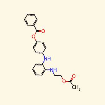 CC(=O)OCCNc1ccccc1Nc1ccc(OC(=O)c2ccccc2)cc1